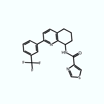 O=C(NC1CCCc2ccc(-c3cccc(C(F)(F)F)c3)nc21)c1cscn1